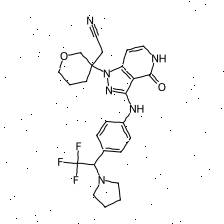 N#CCC1(n2nc(Nc3ccc(C(N4CCCC4)C(F)(F)F)cc3)c3c(=O)[nH]ccc32)CCCOC1